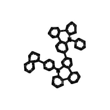 c1ccc(N2c3ccccc3-c3ccccc3-c3ccc(-c4ccc5c(c4)N(c4ccc(-c6cccc7ccccc67)cc4)c4ccccc4-c4ccccc4-5)cc32)cc1